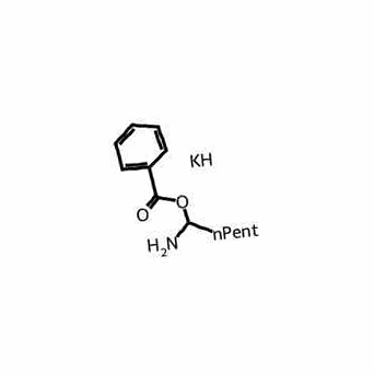 CCCCCC(N)OC(=O)c1ccccc1.[KH]